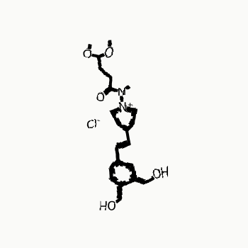 COC(CCC(=O)N(C)[n+]1ccc(C=Cc2ccc(=CO)c(=CO)c2)cc1)OC.[Cl-]